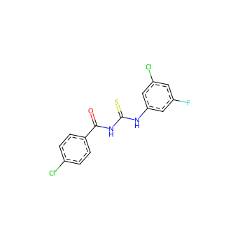 O=C(NC(=S)Nc1cc(F)cc(Cl)c1)c1ccc(Cl)cc1